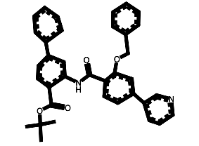 CC(C)(C)OC(=O)c1ccc(-c2ccccc2)cc1NC(=O)c1ccc(-c2cccnc2)cc1OCc1ccccc1